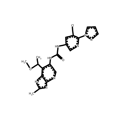 COC(C)c1c(NC(=O)Nc2cnc(-n3cccn3)c(Cl)c2)cnc2sc(C)nc12